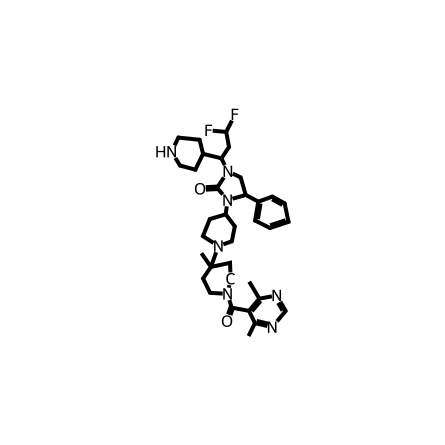 Cc1ncnc(C)c1C(=O)N1CCC(C)(N2CCC(N3C(=O)N(C(CC(F)F)C4CCNCC4)CC3c3ccccc3)CC2)CC1